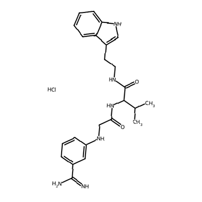 CC(C)C(NC(=O)CNc1cccc(C(=N)N)c1)C(=O)NCCc1c[nH]c2ccccc12.Cl